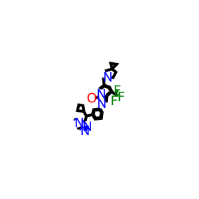 Cn1cnnc1C(c1cccc(-n2cc3c(C(F)(F)F)cc(CN4CCC5(CC5)C4)cn3c2=O)c1)C1CCC1